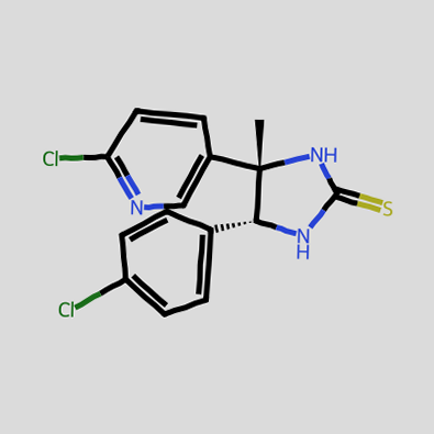 C[C@@]1(c2ccc(Cl)nc2)NC(=S)N[C@@H]1c1ccc(Cl)cc1